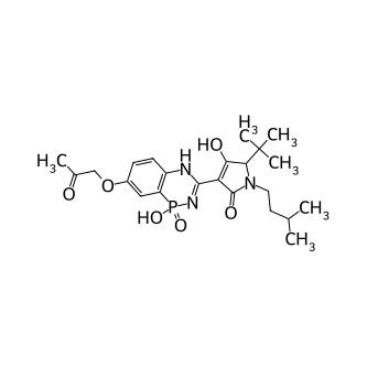 CC(=O)COc1ccc2c(c1)P(=O)(O)N=C(C1=C(O)C(C(C)(C)C)N(CCC(C)C)C1=O)N2